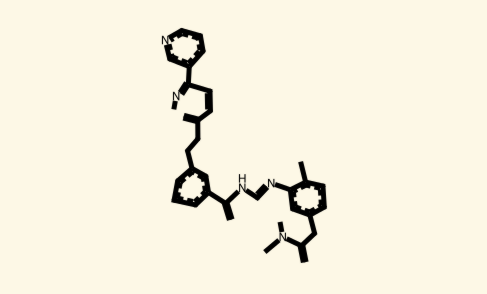 C=C(/C=C\C(=N/C)c1cccnc1)CCc1cccc(C(=C)N/C=N/c2cc(CC(=C)N(C)C)ccc2C)c1